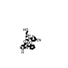 N#Cc1ccc(NC(=O)[C@@H](COCCO)Oc2nc(-c3ccccc3Cl)nc3[nH]ncc23)nc1